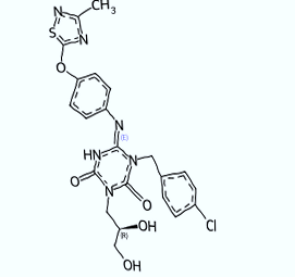 Cc1nsc(Oc2ccc(/N=c3\[nH]c(=O)n(C[C@@H](O)CO)c(=O)n3Cc3ccc(Cl)cc3)cc2)n1